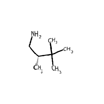 C[C@H](CN)C(C)(C)C